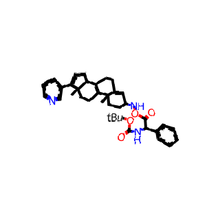 CC(C)(C)OC(=O)NC(C(=O)ONC1C=C2CCC3C(CCC4(C)C(c5cccnc5)=CCC34)C2(C)CC1)c1ccccc1